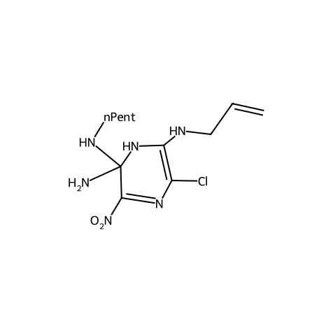 C=CCNC1=C(Cl)N=C([N+](=O)[O-])C(N)(NCCCCC)N1